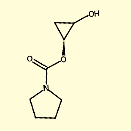 O=C(O[C@H]1CC1O)N1CCCC1